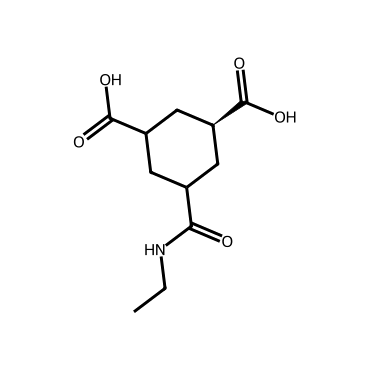 CCNC(=O)C1CC(C(=O)O)C[C@@H](C(=O)O)C1